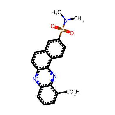 CN(C)S(=O)(=O)c1ccc2c(ccc3nc4cccc(C(=O)O)c4nc32)c1